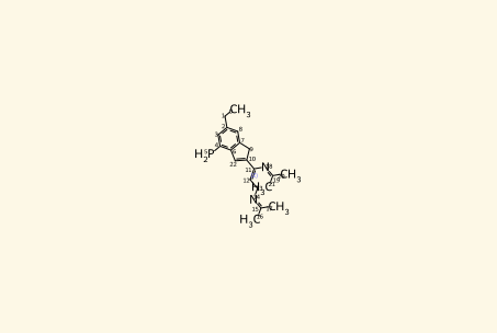 CCc1cc(P)c2c(c1)CC(/C(=C/CN=C(C)C)N=C(C)C)=C2